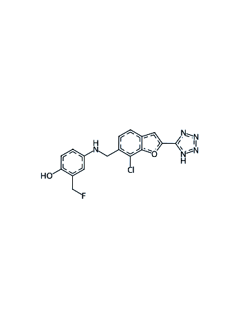 Oc1ccc(NCc2ccc3cc(-c4nnn[nH]4)oc3c2Cl)cc1CF